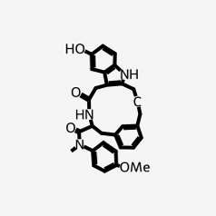 COc1ccc(N(C)C(=O)C2Cc3cccc(c3)CCCc3[nH]c4ccc(O)cc4c3CC(=O)N2)cc1